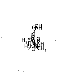 CCc1nc(C(N)=O)c(Nc2ccc(N3CCN(CCCCC(=O)NO)CC3)c(OC)c2)nc1NC1CCOCC1